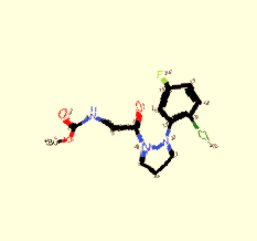 CC(C)(C)OC(=O)NCC(=O)N1CCCN1c1cc(F)ccc1Cl